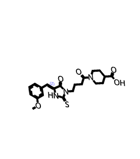 COc1cccc(/C=C2\NC(=S)N(CCCC(=O)N3CCC(C(=O)O)CC3)C2=O)c1